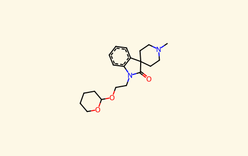 CN1CCC2(CC1)C(=O)N(CCOC1CCCCO1)c1ccccc12